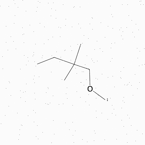 [CH]OCC(C)(C)CC